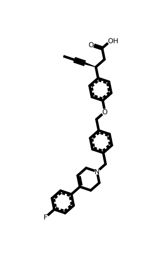 CC#C[C@@H](CC(=O)O)c1ccc(OCc2ccc(CN3CC=C(c4ccc(F)cc4)CC3)cc2)cc1